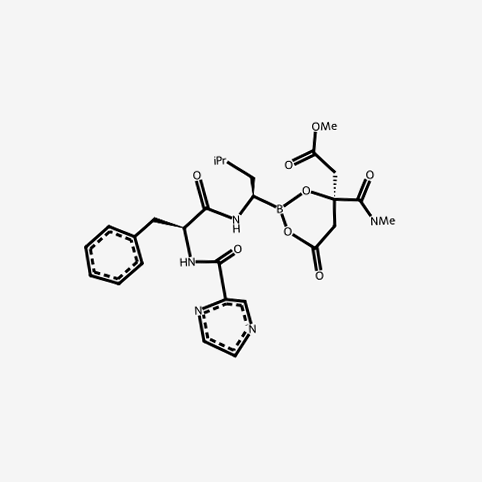 CNC(=O)[C@@]1(CC(=O)OC)CC(=O)OB([C@H](CC(C)C)NC(=O)[C@H](Cc2ccccc2)NC(=O)c2cnccn2)O1